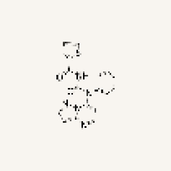 O=C(NC(=O)N(c1ccccc1)c1ccnc2ccnn12)c1cccs1